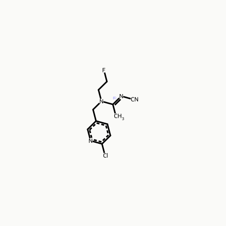 C/C(=N\C#N)N(CCF)Cc1ccc(Cl)nc1